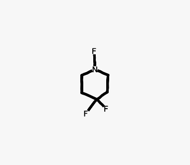 FN1CCC(F)(F)CC1